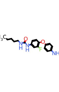 CCCCCNC(=O)Nc1ccc(Oc2ccc(N)cc2)c(F)c1